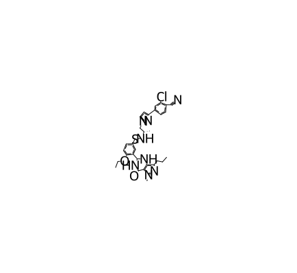 CCCc1nn(C)c2c1NC(c1cc(SN[C@@H](C)Cn3ccc(-c4ccc(C#N)c(Cl)c4)n3)ccc1OCC)NC2=O